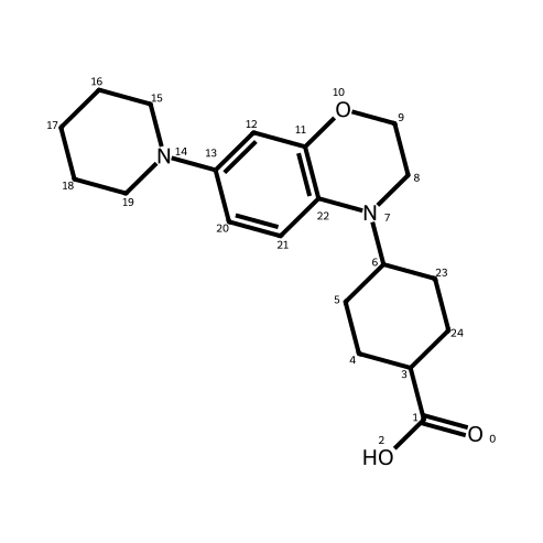 O=C(O)C1CCC(N2CCOc3cc(N4CCCCC4)ccc32)CC1